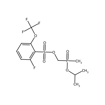 CC(C)OP(C)(=O)COS(=O)(=O)c1c(F)cccc1OC(F)(F)F